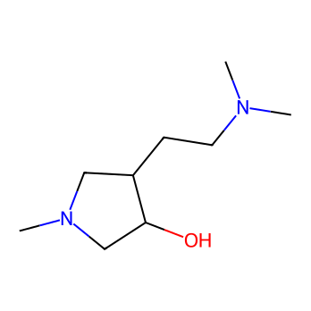 CN(C)CCC1CN(C)CC1O